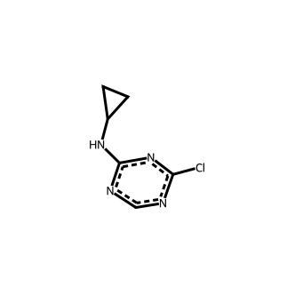 Clc1ncnc(NC2CC2)n1